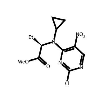 CC[C@H](C(=O)OC)N(c1nc(Cl)ncc1[N+](=O)[O-])C1CC1